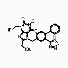 CC(C)Cn1c(=O)n(C)c(=O)c2c1nc(CC(C)(C)C)n2Cc1ccc(-c2ccccc2)c(-c2nnn[nH]2)c1